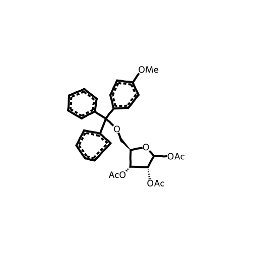 COc1ccc(C(OC[C@H]2OC(OC(C)=O)[C@H](OC(C)=O)[C@@H]2OC(C)=O)(c2ccccc2)c2ccccc2)cc1